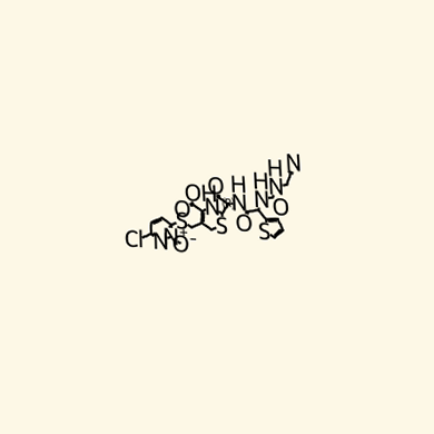 N#CCNC(=O)NC(C(=O)N[C@@H]1C(=O)N2C(C(=O)O)=C(CSc3ccc(Cl)n[n+]3[O-])CSC12)c1cccs1